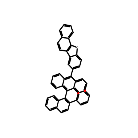 c1ccc(-c2ccc3ccccc3c2-c2c3ccccc3c(-c3ccc4oc5c6ccccc6ccc5c4c3)c3ccccc23)cc1